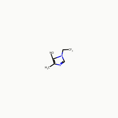 Cc1ncn(CC(F)(F)F)c1N=O